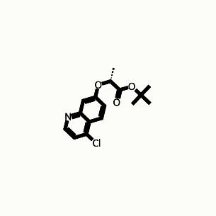 C[C@@H](Oc1ccc2c(Cl)ccnc2c1)C(=O)OC(C)(C)C